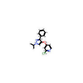 CC(C)n1cc(Oc2ccnc(Cl)c2)c(-c2ccccc2)n1